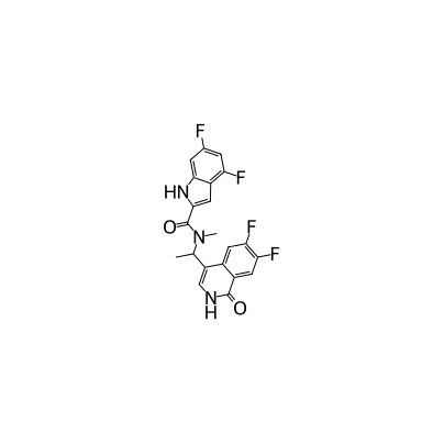 CC(c1c[nH]c(=O)c2cc(F)c(F)cc12)N(C)C(=O)c1cc2c(F)cc(F)cc2[nH]1